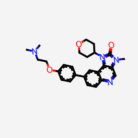 CN(C)CCOc1ccc(-c2ccc3ncc4c(c3c2)n(C2CCOCC2)c(=O)n4C)cc1